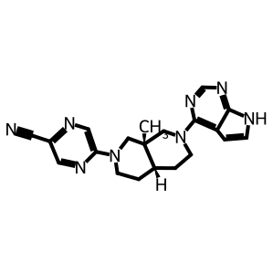 C[C@]12CN(c3cnc(C#N)cn3)CC[C@H]1CCN(c1ncnc3[nH]ccc13)C2